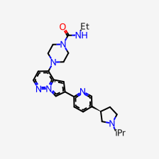 CCNC(=O)N1CCN(c2ccnn3cc(-c4ccc([C@H]5CCN(C(C)C)C5)cn4)cc23)CC1